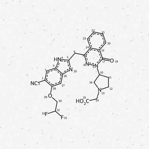 N#Cc1cc2[nH]c(Cc3nn(C4CCN(CC(=O)O)C4)c(=O)c4ccccc34)nc2cc1OCC(F)F